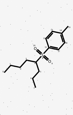 CCCCC(CCC)S(=O)(=O)c1ccc(C)cc1